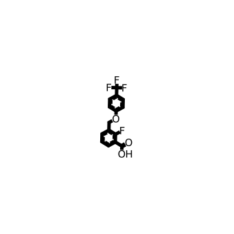 O=C(O)c1cccc(COc2ccc(C(F)(F)F)cc2)c1F